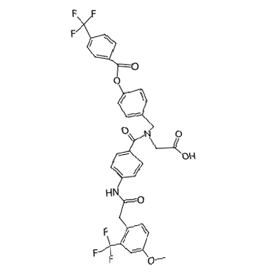 COc1ccc(CC(=O)Nc2ccc(C(=O)N(CC(=O)O)Cc3ccc(OC(=O)c4ccc(C(F)(F)F)cc4)cc3)cc2)c(C(F)(F)F)c1